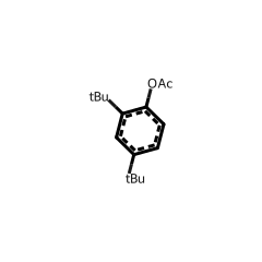 CC(=O)Oc1ccc(C(C)(C)C)cc1C(C)(C)C